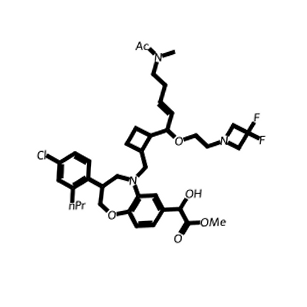 CCCc1cc(Cl)ccc1C1COc2ccc(C(O)C(=O)OC)cc2N(CC2CCC2C(/C=C/CCN(C)C(C)=O)OCCN2CC(F)(F)C2)C1